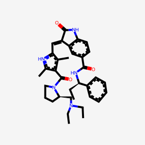 CC[C@@H](NC(=O)c1ccc2c(c1)C(=Cc1[nH]c(C)c(C(=O)N3CCC[C@@H]3CN(CC)CC)c1C)C(=O)N2)c1ccccc1